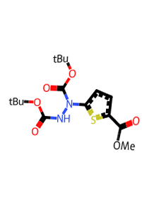 COC(=O)c1ccc(N(NC(=O)OC(C)(C)C)C(=O)OC(C)(C)C)s1